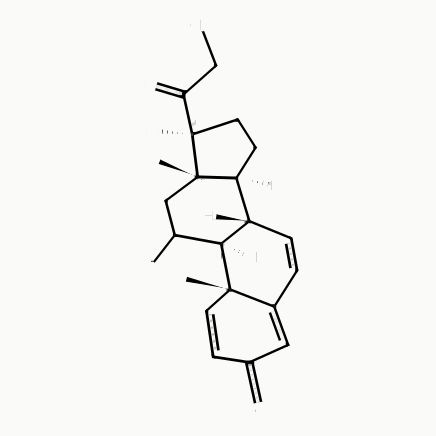 C[C@]12C=CC(=O)C=C1C=C[C@H]1[C@@H]3CC[C@](O)(C(=O)CCl)[C@@]3(C)CC(Cl)[C@@]12Cl